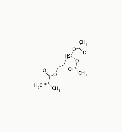 C=C(C)C(=O)OCCC[SiH](OC(C)=O)OC(C)=O